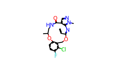 C=C/C1=N\c2c(cnn2C)C(=O)NCC(C)Oc2ccc(F)c(Cl)c2CO1